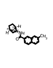 Cc1ccc2ccc(C(=O)N[C@@H]3C[C@H]4CC[C@@H]3N4)cc2c1